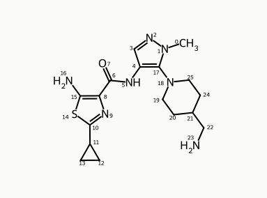 Cn1ncc(NC(=O)c2nc(C3CC3)sc2N)c1N1CCC(CN)CC1